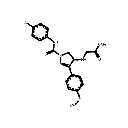 CCCOc1ccc(C2=NN(C(=S)Nc3ccc(C(F)(F)F)cc3)CC2NCC(=O)OC)cc1